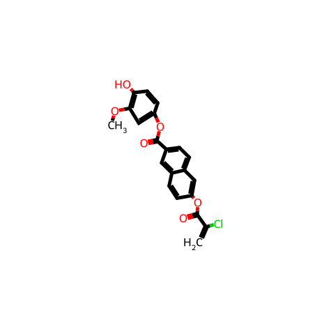 C=C(Cl)C(=O)Oc1ccc2cc(C(=O)Oc3ccc(O)c(OC)c3)ccc2c1